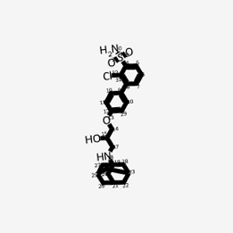 NS(=O)(=O)c1cccc(-c2ccc(OCC(O)CNC34CC5CC(CC(C5)C3)C4)cc2)c1Cl